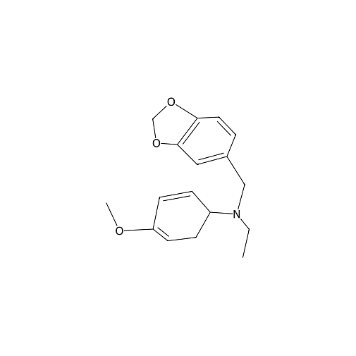 CCN(Cc1ccc2c(c1)OCO2)C1C=CC(OC)=CC1